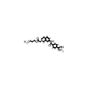 CCCCOC(=O)CN1CCc2ccc(NC(=O)c3ccc(C(=N)N)cc3)cc2C1